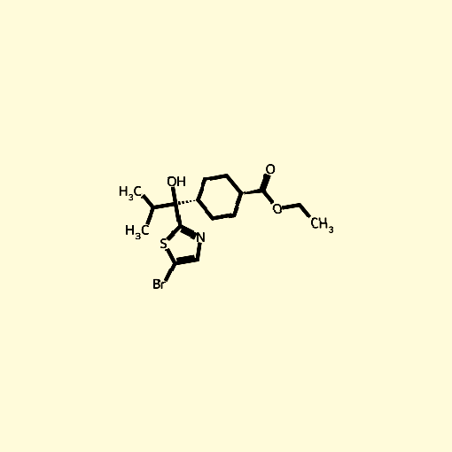 CCOC(=O)[C@H]1CC[C@H](C(O)(c2ncc(Br)s2)C(C)C)CC1